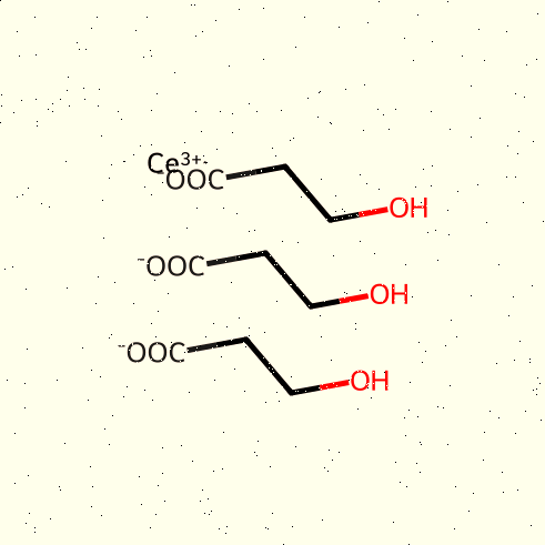 O=C([O-])CCO.O=C([O-])CCO.O=C([O-])CCO.[Ce+3]